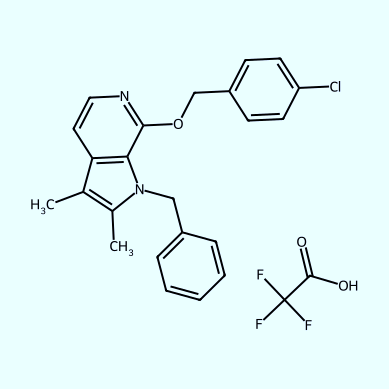 Cc1c(C)n(Cc2ccccc2)c2c(OCc3ccc(Cl)cc3)nccc12.O=C(O)C(F)(F)F